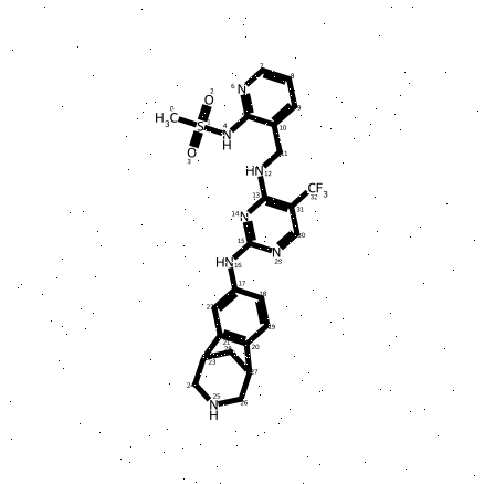 CS(=O)(=O)Nc1ncccc1CNc1nc(Nc2ccc3c(c2)C2CNCC3C2)ncc1C(F)(F)F